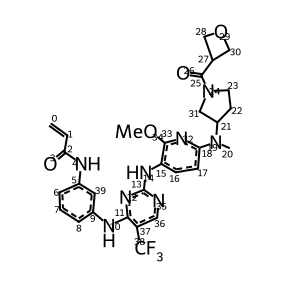 C=CC(=O)Nc1cccc(Nc2nc(Nc3ccc(N(C)C4CCN(C(=O)C5COC5)C4)nc3OC)ncc2C(F)(F)F)c1